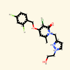 Cc1cc(OCc2ccc(F)cc2F)c(Cl)c(=O)n1Cc1ccn(CCO)n1